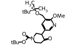 COc1ncc(C2CN(C(=O)OC(C)(C)C)CCC2=O)cc1CO[Si](C)(C)C(C)(C)C